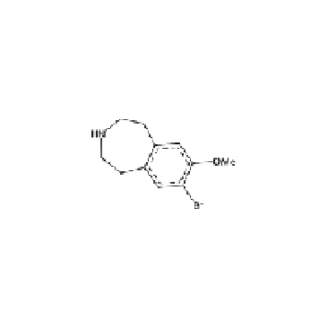 COc1cc2c(cc1Br)CCNCC2